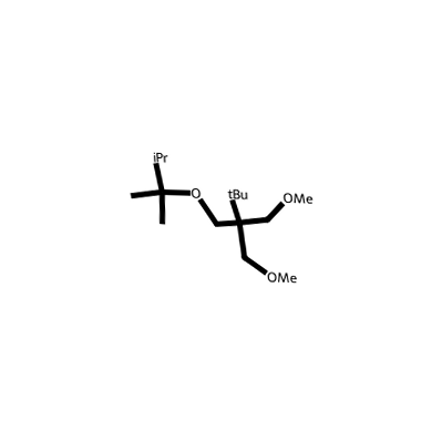 COCC(COC)(COC(C)(C)C(C)C)C(C)(C)C